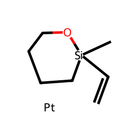 C=C[Si]1(C)CCCCO1.[Pt]